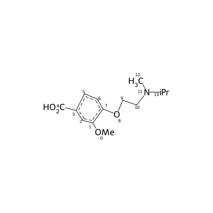 COc1cc(C(=O)O)ccc1OCCN(C)C(C)C